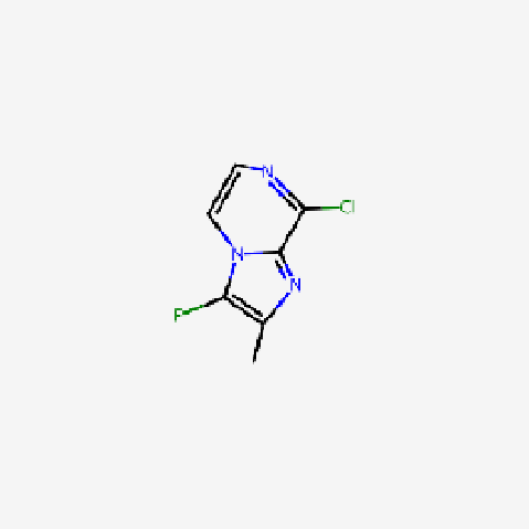 Cc1nc2c(Cl)nccn2c1F